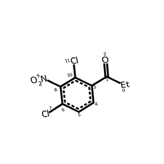 CCC(=O)c1ccc(Cl)c([N+](=O)[O-])c1Cl